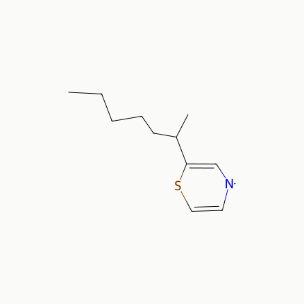 CCCCCC(C)C1=C[N]C=CS1